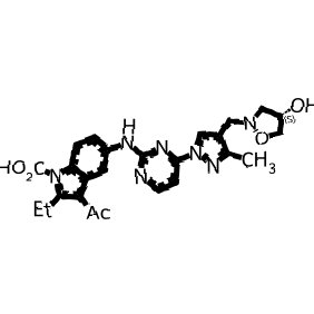 CCc1c(C(C)=O)c2cc(Nc3nccc(-n4cc(CN5C[C@H](O)CO5)c(C)n4)n3)ccc2n1C(=O)O